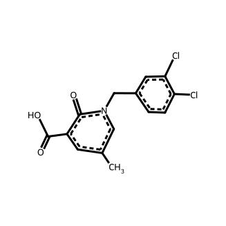 Cc1cc(C(=O)O)c(=O)n(Cc2ccc(Cl)c(Cl)c2)c1